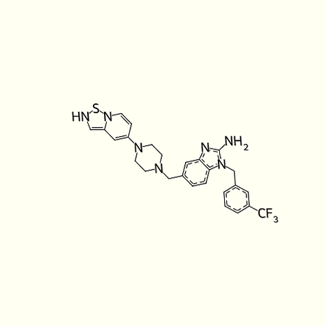 Nc1nc2cc(CN3CCN(C4=CC5=CNSN5C=C4)CC3)ccc2n1Cc1cccc(C(F)(F)F)c1